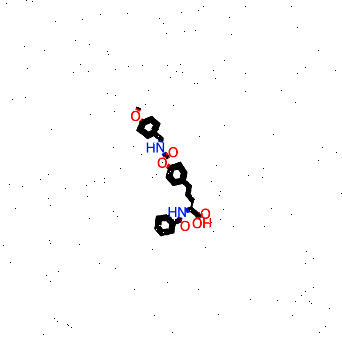 COc1ccc(CNC(=O)Oc2ccc(CCC[C@H](NC(=O)c3ccccc3)C(=O)O)cc2)cc1